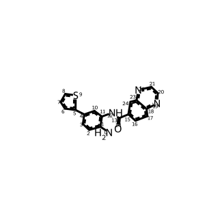 Nc1ccc(-c2cccs2)cc1NC(=O)c1ccc2nccnc2c1